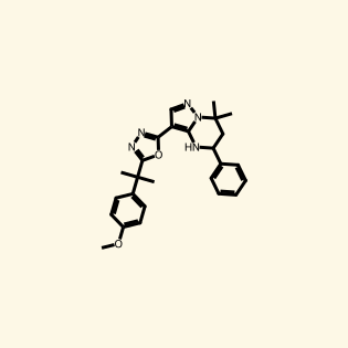 COc1ccc(C(C)(C)c2nnc(-c3cnn4c3NC(c3ccccc3)CC4(C)C)o2)cc1